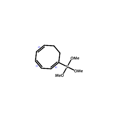 CO[Si](OC)(OC)/C1=C/C=C\C=C/CC1